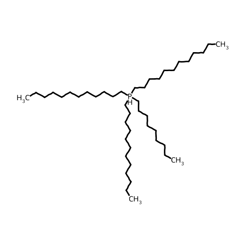 CCCCCCCCCCCC[PH](CCCCCCCCC)(CCCCCCCCCCCC)CCCCCCCCCCCC